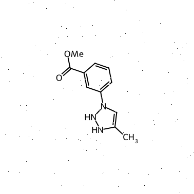 COC(=O)c1cccc(N2C=C(C)NN2)c1